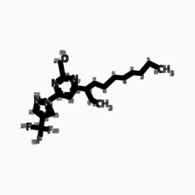 CCCCCCCCC(CC)c1cc(-n2cc(C(F)(F)F)cn2)nc(C=O)n1